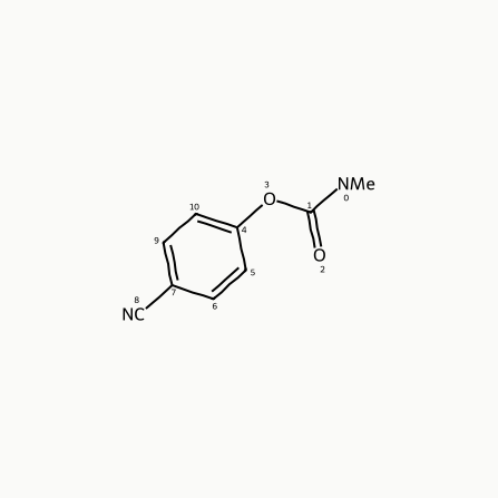 CNC(=O)Oc1ccc(C#N)cc1